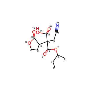 CCC(C)OC(=O)C(CC#N)(C(=O)O)C1CCOC1=O